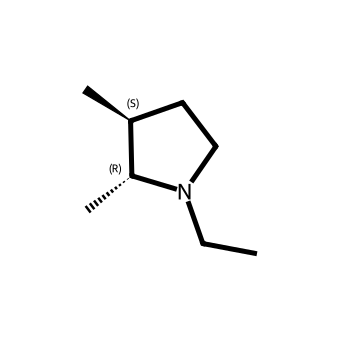 CCN1CC[C@H](C)[C@H]1C